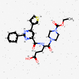 CCOC(=O)N1CCN(C(=O)C(CCC(=O)O)NC(=O)c2cc(-c3ccsc3)nc(-c3ccccc3)n2)CC1